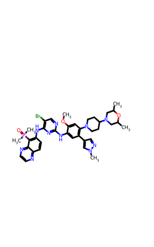 COc1cc(N2CCC(N3CC(C)OC(C)C3)CC2)c(-c2cnn(C)c2)cc1Nc1ncc(Br)c(Nc2ccc3nccnc3c2P(C)(C)=O)n1